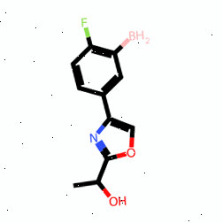 Bc1cc(-c2coc(C(C)O)n2)ccc1F